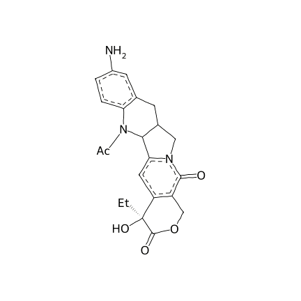 CC[C@@]1(O)C(=O)OCc2c1cc1n(c2=O)CC2Cc3cc(N)ccc3N(C(C)=O)C12